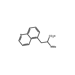 CNC(Cc1cccc2ncccc12)C(=O)O